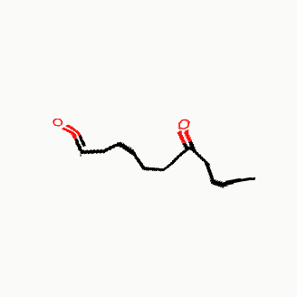 CCC(=O)CC[C]=O